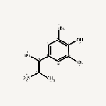 CCCC(c1cc(C(C)(C)C)c(O)c(C(C)(C)C)c1)C(C)[N+](=O)[O-]